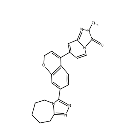 Cn1nc2cc(C3=CCOc4cc(-c5nnc6n5CCCCC6)ccc43)ccn2c1=O